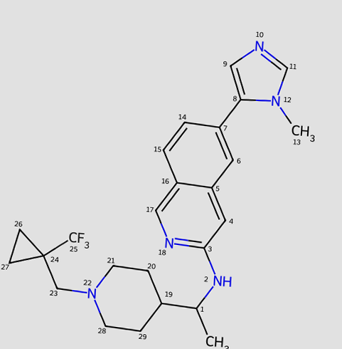 CC(Nc1cc2cc(-c3cncn3C)ccc2cn1)C1CCN(CC2(C(F)(F)F)CC2)CC1